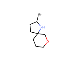 CC(C)C1CCC2(CCCOC2)N1